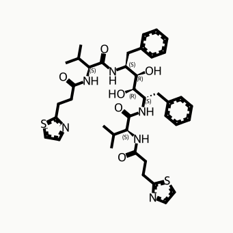 CC(C)[C@H](NC(=O)CCc1nccs1)C(=O)N[C@@H](Cc1ccccc1)[C@@H](O)[C@H](O)[C@H](Cc1ccccc1)NC(=O)[C@@H](NC(=O)CCc1nccs1)C(C)C